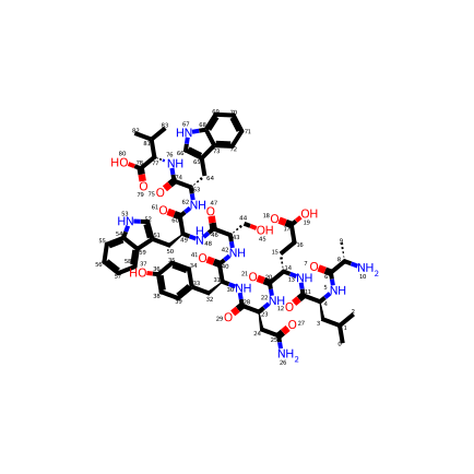 CC(C)C[C@H](NC(=O)[C@H](C)N)C(=O)N[C@@H](CCC(=O)O)C(=O)N[C@@H](CC(N)=O)C(=O)N[C@@H](Cc1ccc(O)cc1)C(=O)N[C@@H](CO)C(=O)N[C@@H](Cc1c[nH]c2ccccc12)C(=O)N[C@@H](Cc1c[nH]c2ccccc12)C(=O)N[C@H](C(=O)O)C(C)C